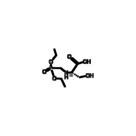 CCOP(=O)(CN[C@@H](CO)C(=O)O)OCC